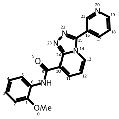 COc1ccccc1NC(=O)c1cccn2c(-c3cccnc3)nnc12